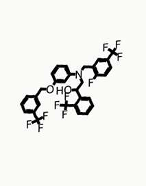 OC(CN(Cc1cc(C(F)(F)F)ccc1F)c1cccc(OCc2cccc(C(F)(F)F)c2)c1)c1ccccc1C(F)(F)F